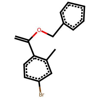 C=C(OCc1ccccc1)c1ccc(Br)cc1C